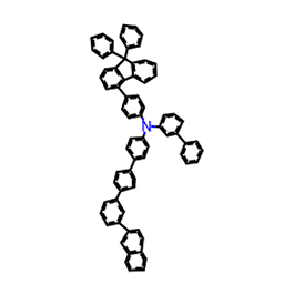 c1ccc(-c2cccc(N(c3ccc(-c4ccc(-c5cccc(-c6ccc7ccccc7c6)c5)cc4)cc3)c3ccc(-c4cccc5c4-c4ccccc4C5(c4ccccc4)c4ccccc4)cc3)c2)cc1